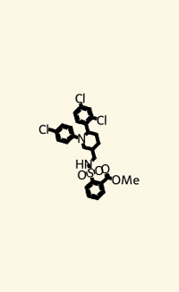 COC(=O)c1ccccc1S(=O)(=O)NCC1CCC(c2ccc(Cl)cc2Cl)N(c2ccc(Cl)cc2)C1